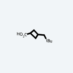 CC(C)(C)CC1CC(C(=O)O)C1